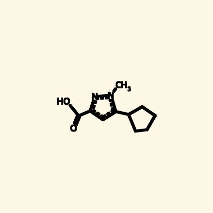 Cn1nc(C(=O)O)cc1C1CCCC1